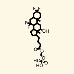 CC12CCC(F)(F)CC1CC(F)(F)C1C2CC(O)C2(C)C(CCCC(=O)OCOP(=O)(O)O)CCC12